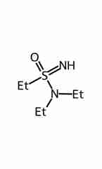 CCN(CC)S(=N)(=O)CC